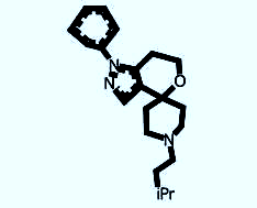 CC(C)CCN1CCC2(CC1)OCCc1c2cnn1-c1ccccc1